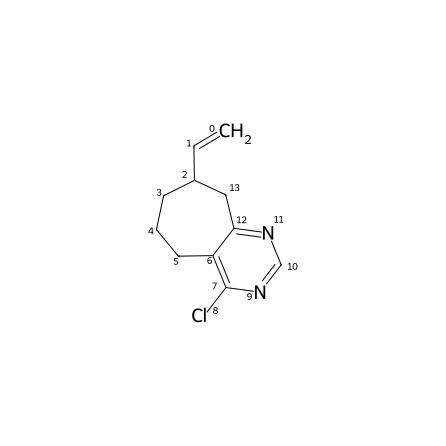 C=CC1CCCc2c(Cl)ncnc2C1